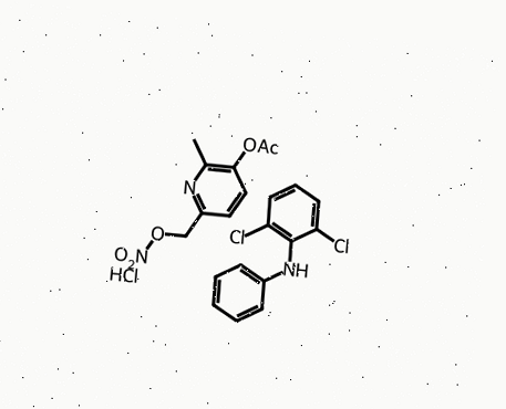 CC(=O)Oc1ccc(CO[N+](=O)[O-])nc1C.Cl.Clc1cccc(Cl)c1Nc1ccccc1